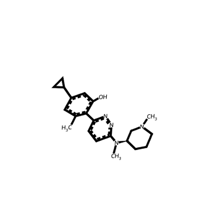 Cc1cc(C2CC2)cc(O)c1-c1ccc(N(C)[C@@H]2CCCN(C)C2)nn1